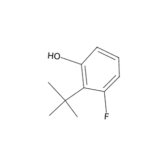 CC(C)(C)c1c(O)cccc1F